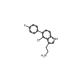 NCCc1c[nH]c2ccc(-c3ccc(F)cc3)c(Cl)c12